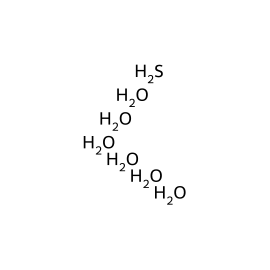 O.O.O.O.O.O.S